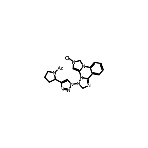 CC(=O)N1CCCC1c1cn(N2CN=C3c4ccccc4N4CN(Cl)C=C4N32)nn1